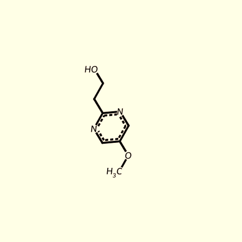 COc1cnc(CCO)nc1